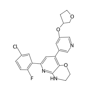 Fc1ccc(Cl)cc1-c1cc(-c2cncc(OC3CCOC3)c2)c2c(n1)NCCO2